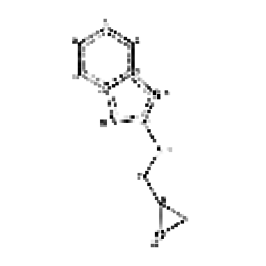 c1ccc2sc(SCC3CO3)nc2c1